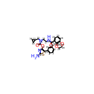 COc1cccc(-c2sc(N)nc2OC(=O)N(CCNC(=O)c2cccc3c2OCCO3)CC2CC2)c1